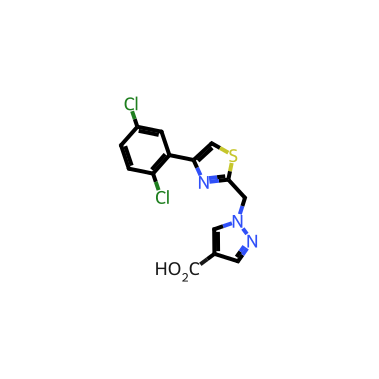 O=C(O)c1cnn(Cc2nc(-c3cc(Cl)ccc3Cl)cs2)c1